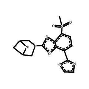 CS(=O)(=O)c1ccc(-c2nccs2)c2oc(N3CC4CC(C3)N4)nc12